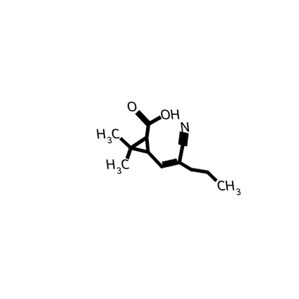 CCC/C(C#N)=C/C1C(C(=O)O)C1(C)C